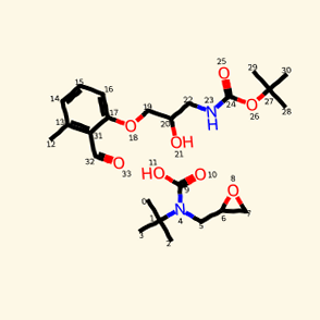 CC(C)(C)N(CC1CO1)C(=O)O.Cc1cccc(OCC(O)CNC(=O)OC(C)(C)C)c1C=O